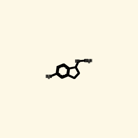 Nc1ccc2c(c1)CCC2NC(=O)O